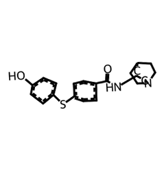 O=C(NC1CC2CCN(CC2)C1)c1ccc(Sc2ccc(O)cc2)cc1